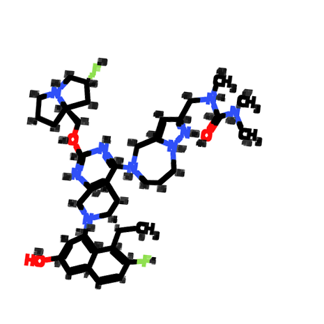 CCc1c(F)ccc2cc(O)cc(N3CCc4c(nc(OC[C@@]56CCCN5C[C@H](F)C6)nc4N4CCCn5nc(CN(C)C(=O)N(C)C)cc5C4)C3)c12